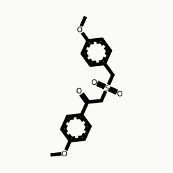 COc1ccc(CS(=O)(=O)CC(=O)c2ccc(OC)cc2)cc1